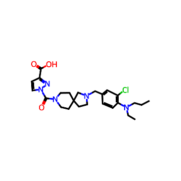 CCCN(CC)c1ccc(CN2CCC3(CCN(C(=O)n4ccc(C(=O)O)n4)CC3)C2)cc1Cl